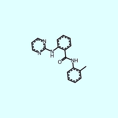 Cc1ccccc1NC(=O)c1ccccc1Nc1ncccn1